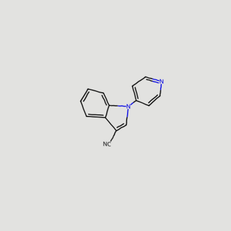 N#Cc1cn(-c2ccncc2)c2ccccc12